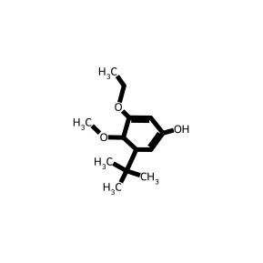 CCOC1=CC(O)=CC(C(C)(C)C)C1OC